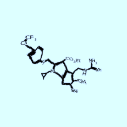 CCOC(=O)c1c(CSc2ccc(OC(F)(F)F)cc2)n(C2CC2)c2cc(Br)c(O)c(CNC(=N)N)c12